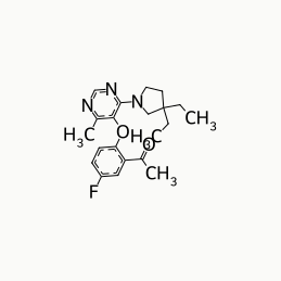 CCC1(CC)CCN(c2ncnc(C)c2Oc2ccc(F)cc2C(C)=O)C1